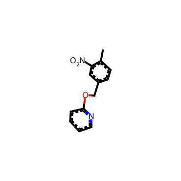 Cc1ccc(COc2ccccn2)cc1[N+](=O)[O-]